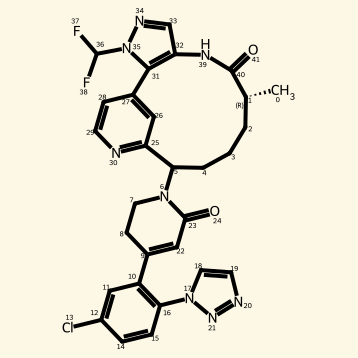 C[C@@H]1CCCC(N2CCC(c3cc(Cl)ccc3-n3ccnn3)=CC2=O)c2cc(ccn2)-c2c(cnn2C(F)F)NC1=O